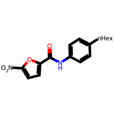 CCCCCCc1ccc(NC(=O)c2ccc([N+](=O)[O-])o2)cc1